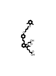 Cc1cccc(C)c1OC/C=C/COc1ccc(/C=C/c2cccc3c(CCCC(=O)O)c(C)n(CC(=O)O)c23)cc1